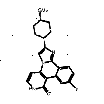 CO[C@H]1CC[C@@H](c2cn3c4cc[nH]c(=O)c4c4cc(F)ccc4c3n2)CC1